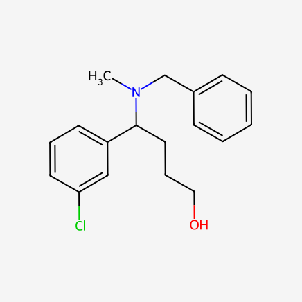 CN(Cc1ccccc1)C(CCCO)c1cccc(Cl)c1